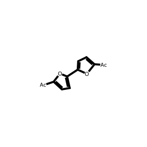 CC(=O)c1ccc(-c2ccc(C(C)=O)o2)o1